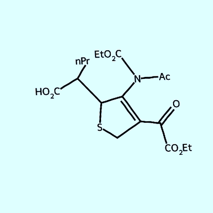 CCCC(C(=O)O)C1SCC(C(=O)C(=O)OCC)=C1N(C(C)=O)C(=O)OCC